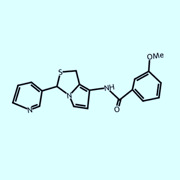 COc1cccc(C(=O)Nc2ccn3c2CSC3c2cccnc2)c1